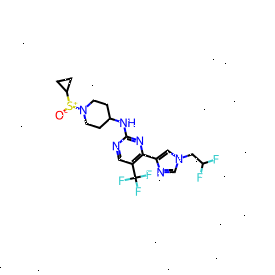 [O-][S+](C1CC1)N1CCC(Nc2ncc(C(F)(F)F)c(-c3cn(CC(F)F)cn3)n2)CC1